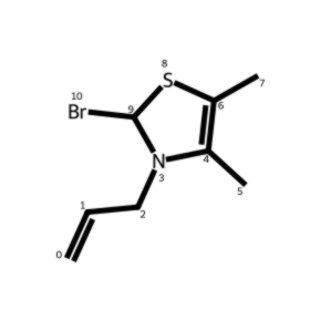 C=CCN1C(C)=C(C)SC1Br